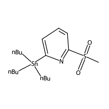 CCC[CH2][Sn]([CH2]CCC)([CH2]CCC)[c]1cccc(S(C)(=O)=O)n1